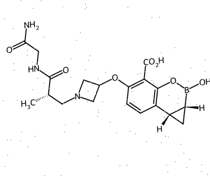 C[C@@H](CN1CC(Oc2ccc3c(c2C(=O)O)OB(O)[C@@H]2C[C@H]32)C1)C(=O)NCC(N)=O